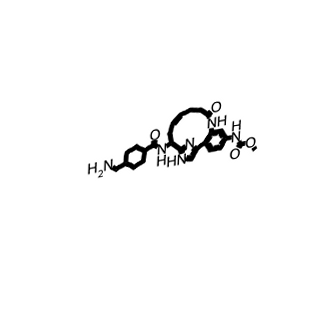 COC(=O)Nc1ccc2c(c1)NC(=O)CCC=CCC(NC(=O)C1CCC(CN)CC1)c1nc-2c[nH]1